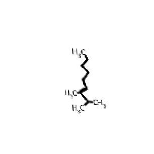 CCCCC/C=C(\C)C(C)C